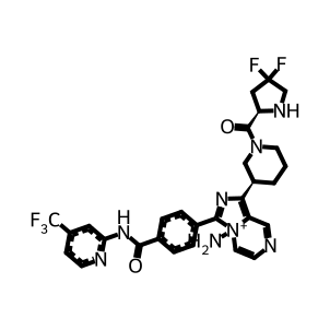 N[N+]12C=CN=CC1=C([C@@H]1CCCN(C(=O)[C@H]3CC(F)(F)CN3)C1)N=C2c1ccc(C(=O)Nc2cc(C(F)(F)F)ccn2)cc1